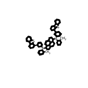 Cc1ccccc1N(c1cccc(-c2cccc3c2sc2ccccc23)c1)c1ccc2ccc3c(N(c4cccc(-c5cccc6c5sc5ccccc56)c4)c4ccccc4C)ccc4ccc1c2c43